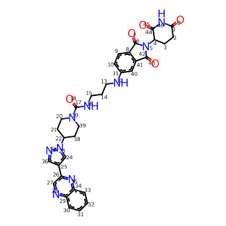 O=C1CCC(N2C(=O)c3ccc(NCCCNC(=O)N4CCC(n5cc(-c6cnc7ccccc7n6)cn5)CC4)cc3C2=O)C(=O)N1